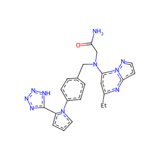 CCc1cc(N(CC(N)=O)Cc2ccc(-n3cccc3-c3nnn[nH]3)cc2)n2nccc2n1